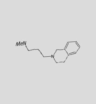 CNCCCN1CCc2ccccc2C1